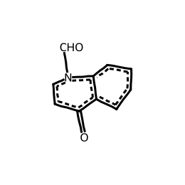 O=Cn1ccc(=O)c2ccccc21